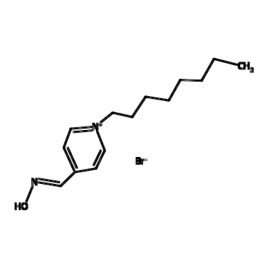 CCCCCCCC[n+]1ccc(C=NO)cc1.[Br-]